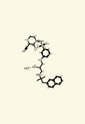 CC(C)(Cc1ccc2ccccc2c1)NC[C@@H](O)COc1cccc(S(=O)(=O)NN2CCSC(C#N)C2Cl)c1.Cl